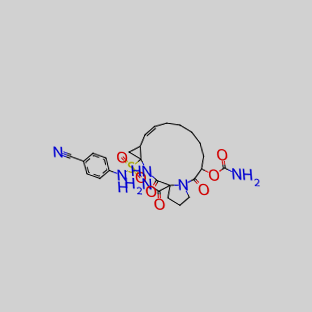 N#Cc1ccc(NS(=O)(=O)C23CC2C=CCCCCCC(OC(N)=O)C(=O)N2CCCC2(C(N)=O)C(=O)N3)cc1